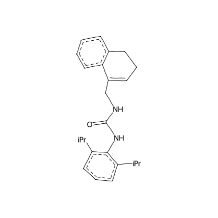 CC(C)c1cccc(C(C)C)c1NC(=O)NCC1=CCCc2ccccc21